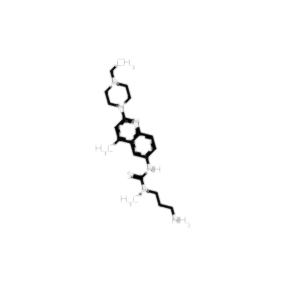 CCN1CCN(c2cc(C)c3cc(NC(=S)N(C)CCCN)ccc3n2)CC1